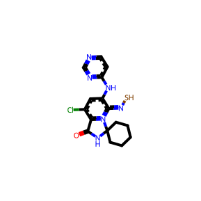 O=C1NC2(CCCCC2)n2c1c(Cl)cc(Nc1ccncn1)/c2=N\S